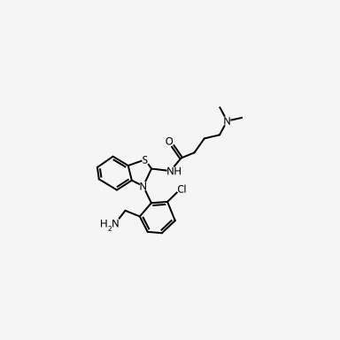 CN(C)CCCC(=O)NC1Sc2ccccc2N1c1c(Cl)cccc1CN